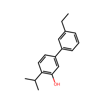 CCc1cccc(-c2ccc(C(C)C)c(O)c2)c1